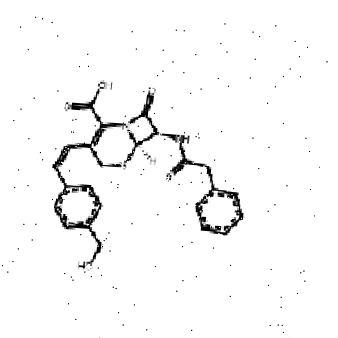 O=C(Cc1ccccc1)N[C@@H]1C(=O)N2C(C(=O)O)=C(/C=C\c3ccc(CO)cc3)CS[C@H]12